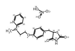 CN(CCOc1ccc(CC2SC(=O)NC2=O)cc1)c1ccccn1.O=[N+]([O-])O